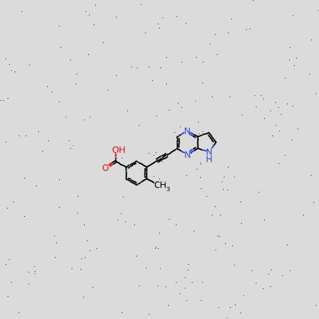 Cc1ccc(C(=O)O)cc1C#Cc1cnc2cc[nH]c2n1